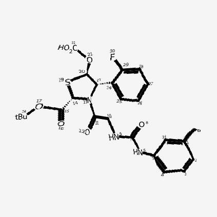 Cc1cccc(NC(=O)NCC(=O)N2[C@H](C(=O)OC(C)(C)C)S[C@@H](OC(=O)O)[C@@H]2c2ccccc2F)c1